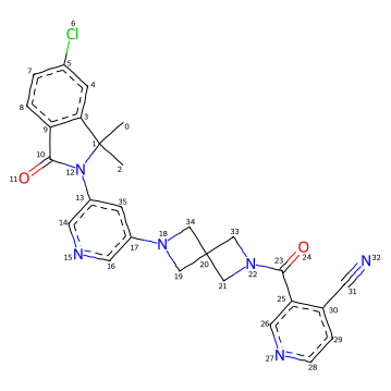 CC1(C)c2cc(Cl)ccc2C(=O)N1c1cncc(N2CC3(CN(C(=O)c4cnccc4C#N)C3)C2)c1